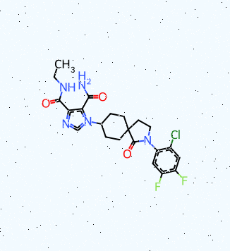 CCNC(=O)c1ncn(C2CCC3(CC2)CCN(c2cc(F)c(F)cc2Cl)C3=O)c1C(N)=O